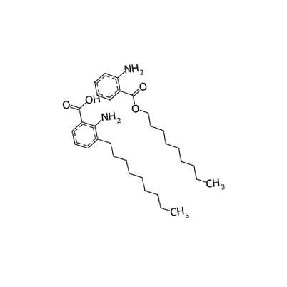 CCCCCCCCCOC(=O)c1ccccc1N.CCCCCCCCCc1cccc(C(=O)O)c1N